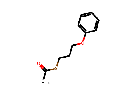 CC(=O)SCCCOc1ccccc1